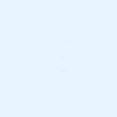 CC(C)CC(N)CNC(C=O)Cc1ccccc1